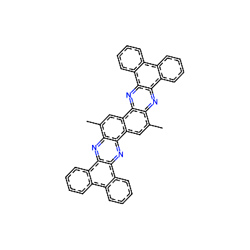 Cc1cc2c(cc(C)c3nc4c5ccccc5c5ccccc5c4nc32)c2nc3c4ccccc4c4ccccc4c3nc12